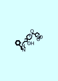 O=C(C1CCS(=O)(=O)C1)N1CCC2(CC1)C[C@@H]([C@H]1c3ccccc3-c3cncn31)[C@H]2O